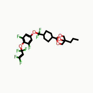 CCCC12COC(C3CCC(C(F)(F)Oc4cc(F)c(OC(F)(F)C=C(F)F)c(F)c4)CC3)(OC1)OC2